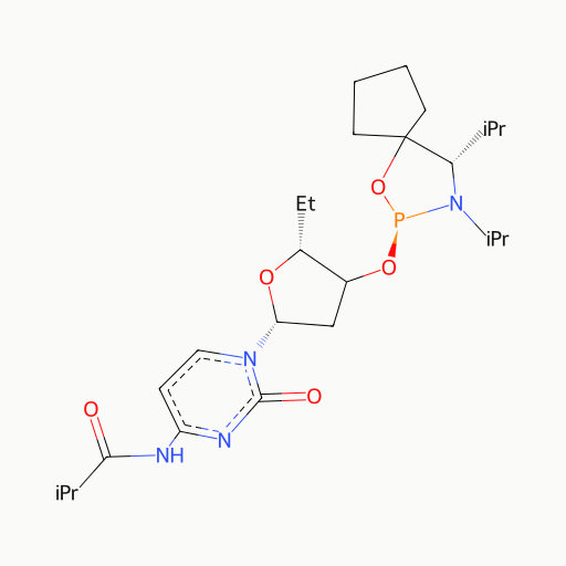 CC[C@H]1O[C@@H](n2ccc(NC(=O)C(C)C)nc2=O)CC1O[P@@]1OC2(CCCC2)[C@H](C(C)C)N1C(C)C